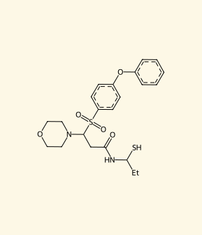 CCC(S)NC(=O)CC(N1CCOCC1)S(=O)(=O)c1ccc(Oc2ccccc2)cc1